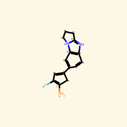 FC1=C(P)CC(c2ccc3nc4n(c3c2)CCC4)=C1